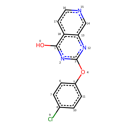 Oc1nc(Oc2ccc(Cl)cc2)nc2cnccc12